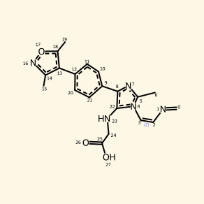 C=N/C=C\n1c(C)nc(-c2ccc(-c3c(C)noc3C)cc2)c1NCC(=O)O